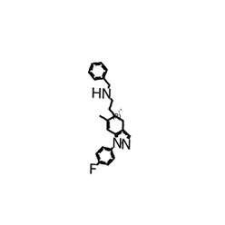 CC1=Cc2c(cnn2-c2ccc(F)cc2)C[C@]1(C)CCNCc1ccccc1